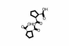 O=C(O)[C@H]1CCC[C@H]1C(=O)OC(=O)[C@H]1CCC[C@H]1C(=O)O